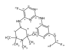 CN1C(C)(C)CC(Nc2nc(Nc3cccc(OC(F)F)c3)ncc2F)CC1(C)C